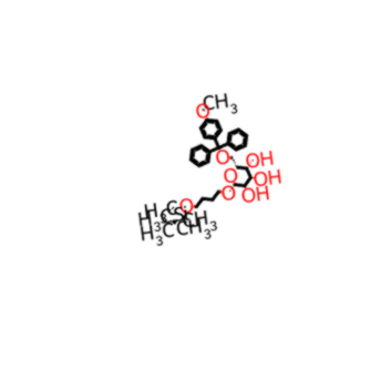 COc1ccc(C(OC[C@H]2O[C@@H](OCCCCO[Si](C)(C)C(C)(C)C)[C@H](O)[C@@H](O)[C@H]2O)(c2ccccc2)c2ccccc2)cc1